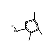 Cc1cc(C)c(C)c(NBr)c1